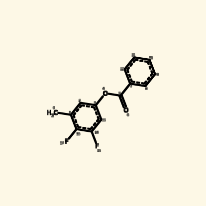 Cc1cc(OC(=O)c2ccccc2)cc(F)c1F